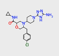 Nc1nnc(N2CCC(N3CC(C(=O)NC4CC4)OCC3Cc3ccc(Cl)cc3)CC2)[nH]1